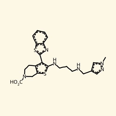 Cn1cc(CNCCCNc2sc3c(c2-c2nc4ccccc4s2)CCN(C(=O)O)C3)cn1